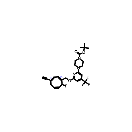 C#C/C1=C/C=C(/COc2cc(C(F)(F)F)cc(N3CCN(C(=O)OC(C)(C)C)CC3)n2)C(F)C#CC1